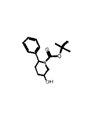 CC(C)(C)OC(=O)N1CC(O)CCC1c1ccccc1